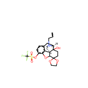 C=CCN1CC[C@@]23c4c5ccc(OS(=O)(=O)C(F)(F)F)c4OC2C2(CCC3(O)[C@@H]1C5)OCCO2